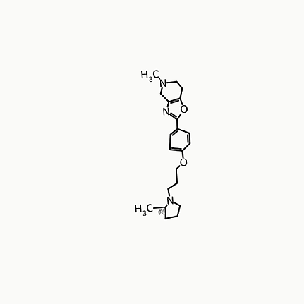 C[C@@H]1CCCN1CCCOc1ccc(-c2nc3c(o2)CCN(C)C3)cc1